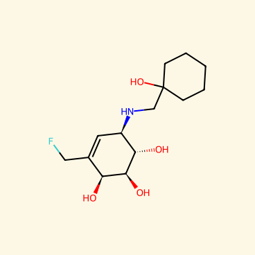 O[C@@H]1[C@@H](O)[C@@H](O)C(CF)=C[C@H]1NCC1(O)CCCCC1